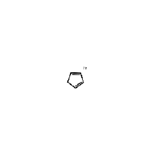 C1=CCC=C1.[Er]